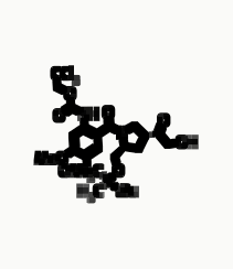 COc1cc(NC(=O)OCC(Cl)(Cl)Cl)c(C(=O)N2C[C@H](C(=O)CO)C[C@H]2CO[Si](C)(C)C(C)(C)C)cc1OC